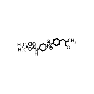 CC(C=O)Cc1ccc(S(=O)(=O)N2CCC(NC(=O)OC(C)(C)C)CC2)cc1